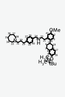 COc1ccc(C2CCc3cc(O[Si](C)(C)C(C)(C)C)ccc3C2)c(CCNCc2ccc(CCCN3CCCCCC3)cc2)c1